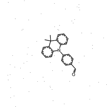 CC1(C)c2ccccc2N(c2ccc(C=O)cc2)c2ccccc21